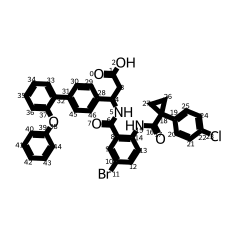 O=C(O)CC(NC(=O)c1cc(Br)ccc1NC(=O)C1(c2ccc(Cl)cc2)CC1)c1ccc(-c2ccccc2Oc2ccccc2)cc1